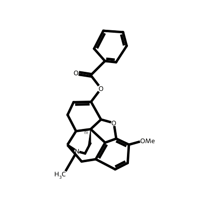 COc1ccc2c3c1OC1C(OC(=O)c4ccccc4)=CCC4C(C2)N(C)CC[C@]314